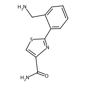 NCc1ccccc1-c1nc(C(N)=O)cs1